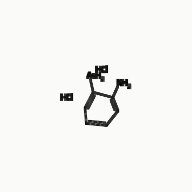 Cl.Cl.Nc1ccccc1[AsH2]